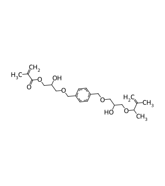 C=C(C)C(=O)OCC(O)COCc1ccc(COCC(O)COC(C)C(=C)C)cc1